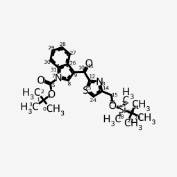 CC(C)(C)OC(=O)n1cc(C(=O)c2nc(CO[Si](C)(C)C(C)(C)C)cs2)c2ccccc21